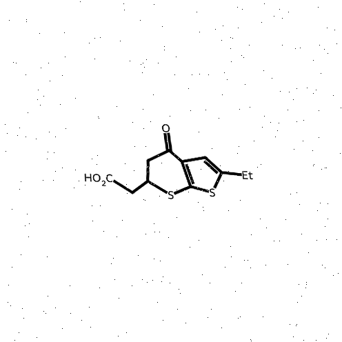 CCc1cc2c(s1)SC(CC(=O)O)CC2=O